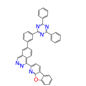 c1ccc(-c2nc(-c3ccccc3)nc(-c3cccc(-c4ccc5c(-c6ccc7c(n6)oc6ccccc67)nncc5c4)c3)n2)cc1